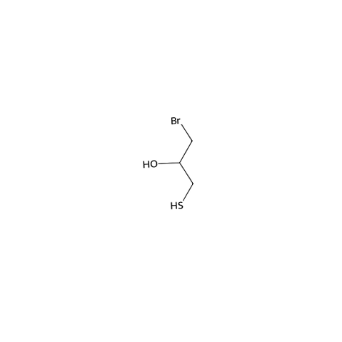 OC(CS)CBr